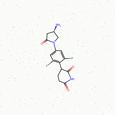 N[C@@H]1CC(=O)N(c2cc(F)c(C3CCC(=O)NC3=O)c(F)c2)C1